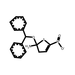 NC1(OC(c2ccccc2)c2ccccc2)CC=C([N+](=O)[O-])S1